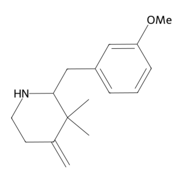 C=C1CCNC(Cc2cccc(OC)c2)C1(C)C